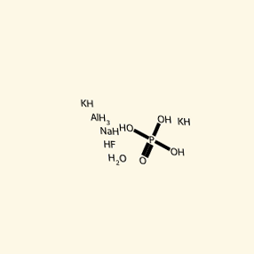 F.O.O=P(O)(O)O.[AlH3].[KH].[KH].[NaH]